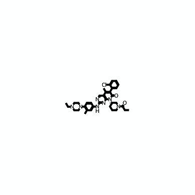 CCC(=O)N1CCC[C@H](n2c(=O)c(-c3ccccc3Cl)c(C)c3cnc(Nc4ccc(N5CCN(CC)CC5)c(C)c4)nc32)C1